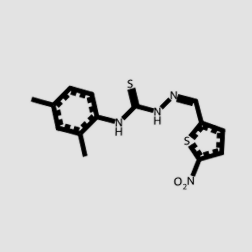 Cc1ccc(NC(=S)N/N=C\c2ccc([N+](=O)[O-])s2)c(C)c1